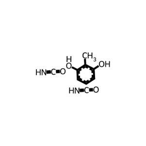 Cc1c(O)cccc1O.N=C=O.N=C=O